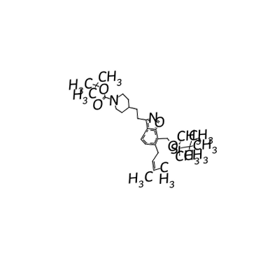 CC(C)=CCc1ccc2c(CCC3CCN(C(=O)OC(C)(C)C)CC3)noc2c1CO[Si](C)(C)C(C)(C)C